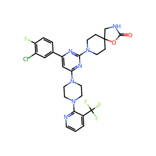 O=C1NCC2(CCN(c3nc(-c4ccc(F)c(Cl)c4)cc(N4CCN(c5ncccc5C(F)(F)F)CC4)n3)CC2)O1